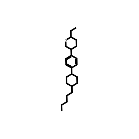 CCCCCC1CCC(c2ccc(C3CCC(CC)OC3)cc2)CC1